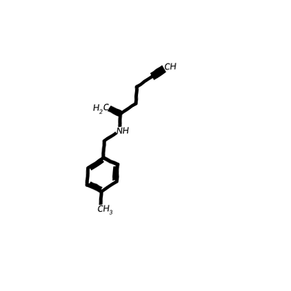 C#CCCC(=C)NCc1ccc(C)cc1